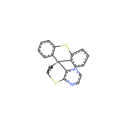 c1ccc2c(c1)Sc1ccccc1[Si]21c2ccccc2Sc2nccnc21